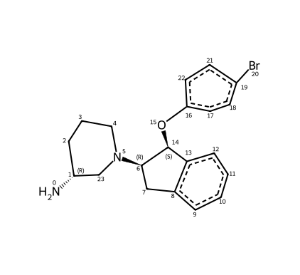 N[C@@H]1CCCN([C@@H]2Cc3ccccc3[C@@H]2Oc2ccc(Br)cc2)C1